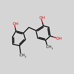 Cc1ccc(O)c(Cc2cc(C)c(O)cc2O)c1